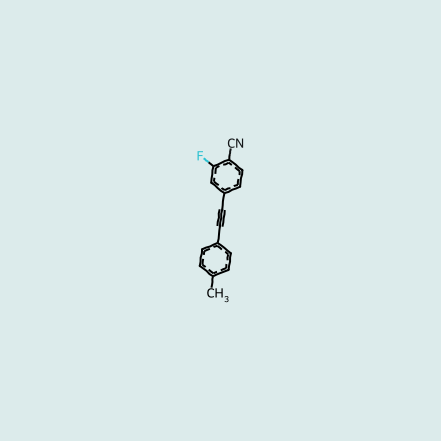 Cc1ccc(C#Cc2ccc(C#N)c(F)c2)cc1